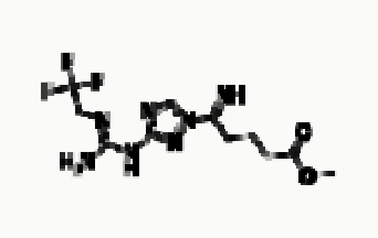 COC(=O)CCCC(=N)n1cnc(NC(N)=NCC(F)(F)F)n1